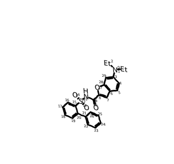 CCN(CC)c1ccc2cc(C(=O)NS(=O)(=O)c3ccccc3-c3ccccc3)oc2c1